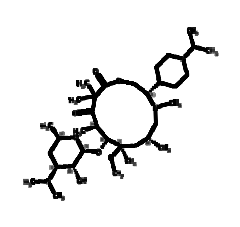 CO[C@]1(C)C[C@@H](C)CN(C)[C@@H](C2CCN(C(C)C)CC2)COC(=O)C(C)(C)C(=O)[C@H](C)[C@H]1O[C@@H]1O[C@H](C)C[C@H](N(C)C)[C@H]1O